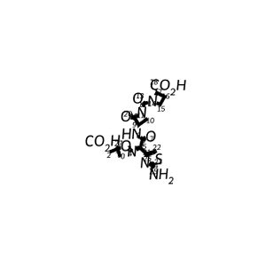 CC(C)(ON=C(C(=O)N[C@H]1CN(C(=O)N2CC[C@H]2C(=O)O)C1=O)c1csc(N)n1)C(=O)O